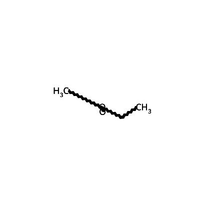 CCCCCCCC/C=C\CCCCCCCC(=O)OCCCCCCCCCCCCCCCCC